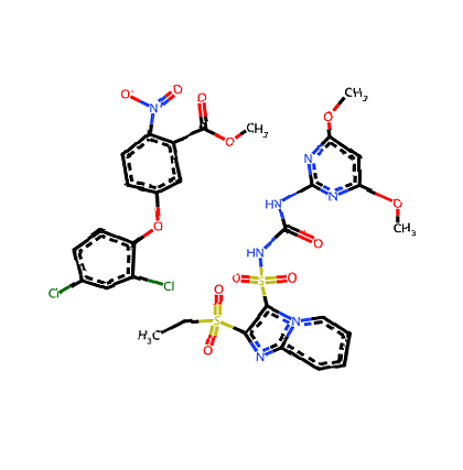 CCS(=O)(=O)c1nc2ccccn2c1S(=O)(=O)NC(=O)Nc1nc(OC)cc(OC)n1.COC(=O)c1cc(Oc2ccc(Cl)cc2Cl)ccc1[N+](=O)[O-]